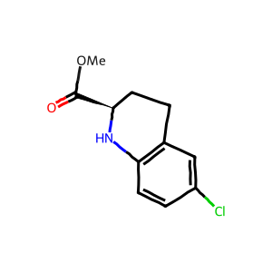 COC(=O)[C@H]1CCc2cc(Cl)ccc2N1